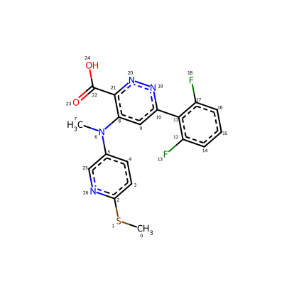 CSc1ccc(N(C)c2cc(-c3c(F)cccc3F)nnc2C(=O)O)cn1